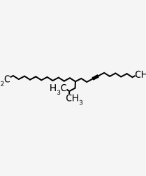 [CH2]CCCCCCC#CCCC(CCCCCCCCCCC[CH2])CC(C)C